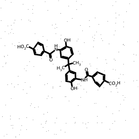 CC(C)(c1ccc(O)c(NC(=O)c2ccc(C(=O)O)cc2)c1)c1ccc(O)c(NC(=O)c2ccc(C(=O)O)cc2)c1